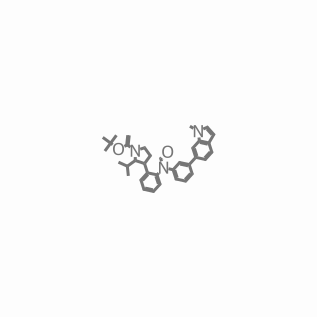 C=C(OC(C)(C)C)N1CCC(c2ccccc2N(C=O)c2cccc(-c3ccc4ccn(C)c4c3)c2)C1C(C)C